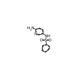 Nc1ccc(NS(=O)(=O)c2ccccc2)cn1